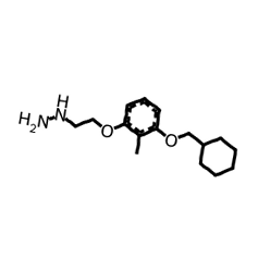 Cc1c(OCCNN)cccc1OCC1CCCCC1